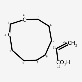 C1CCCCCCCCC1.C=CC(=O)O